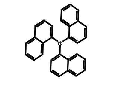 c1ccc2[c]([Pb]([c]3cccc4ccccc34)[c]3cccc4ccccc34)cccc2c1